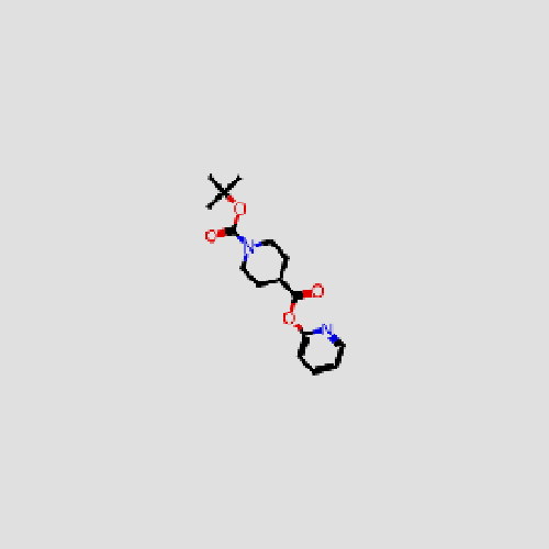 CC(C)(C)OC(=O)N1CCC(C(=O)Oc2ccccn2)CC1